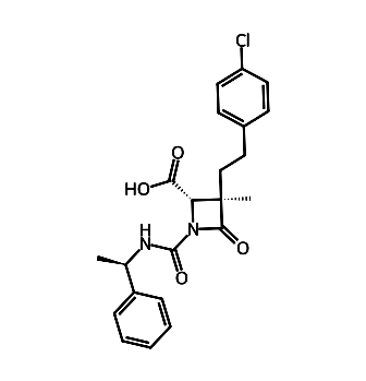 C[C@@H](NC(=O)N1C(=O)[C@](C)(CCc2ccc(Cl)cc2)[C@H]1C(=O)O)c1ccccc1